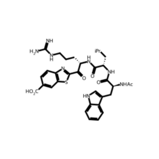 CC(=O)N[C@@H](Cc1c[nH]c2ccccc12)C(=O)N[C@@H](CC(C)C)C(=O)N[C@@H](CCCNC(=N)N)C(=O)c1nc2ccc(C(=O)O)cc2s1